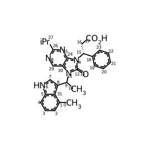 Cc1cccc2[nH]cc(C(C)n3c(=O)n([C@H](CC(=O)O)c4ccccc4)c4nc(C(C)C)ncc43)c12